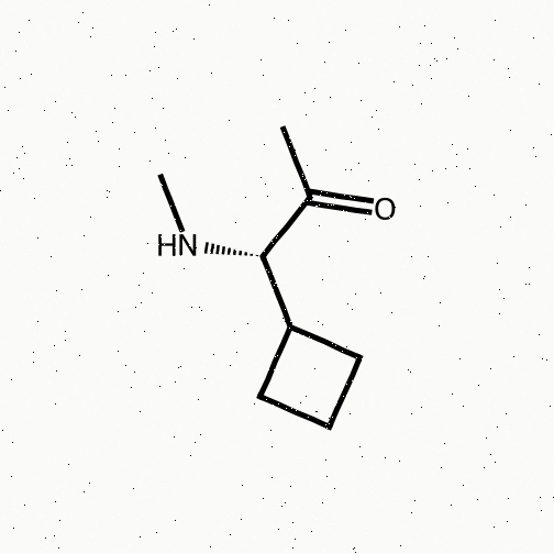 CN[C@H](C(C)=O)C1CCC1